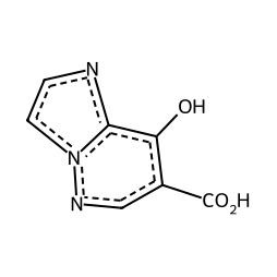 O=C(O)c1cnn2ccnc2c1O